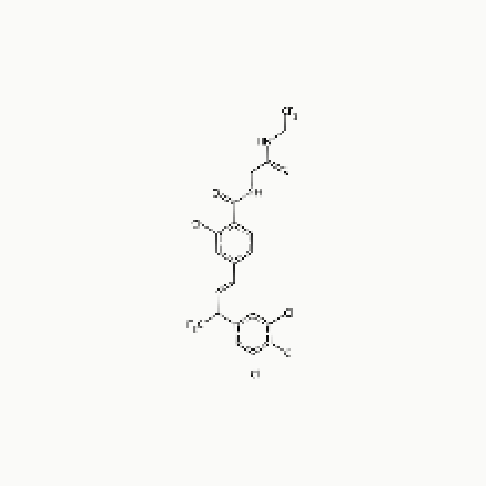 O=C(NCC(=S)NCC(F)(F)F)c1ccc(/C=C/C(c2cc(Cl)c(Cl)c(Cl)c2)C(F)(F)F)cc1Cl